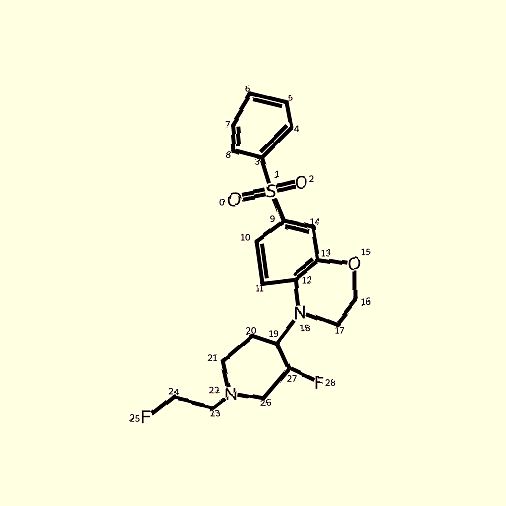 O=S(=O)(c1ccccc1)c1ccc2c(c1)OCCN2C1CCN(CCF)CC1F